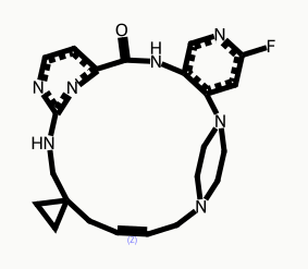 O=C1Nc2cnc(F)cc2N2CCN(C/C=C\CC3(CC3)CNc3nccc1n3)CC2